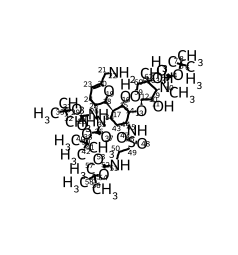 CN(C(=O)OC(C)(C)C)[C@@H]1[C@@H](O)[C@@H](O[C@@H]2[C@@H](O)[C@H](C3OC(CN)=CC[C@H]3NC(=O)OC(C)(C)C)[C@@H](NC(=O)OC(C)(C)C)C[C@H]2NS(=O)(=O)CCNC(=O)OC(C)(C)C)OC[C@]1(C)O